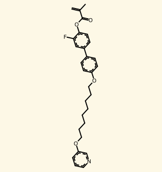 C=C(C)C(=O)Oc1ccc(-c2ccc(OCCCCCCCCOc3cccnc3)cc2)cc1F